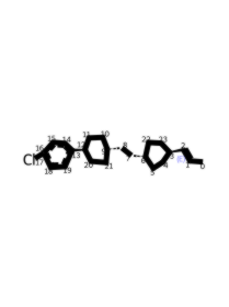 C/C=C/[C@H]1CC[C@H](CC[C@H]2CC[C@H](c3ccc(Cl)cc3)CC2)CC1